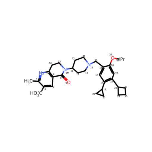 Cc1nc2c(cc1C(=O)O)C(=O)N(C1CCN(Cc3cc(C4CC4)c(C4CCC4)cc3OC(C)C)CC1)CC2